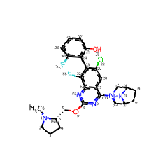 CN1CCC[C@H]1COc1nc(N2CC3CCC(C2)N3)c2cc(Cl)c(-c3c(O)cccc3F)c(F)c2n1